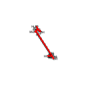 CN[C@@H](CCCCNC(=O)CCOCCOCCOCCOCCOCCOCCOCCOCCOCCOCCOCCOCCNC(=O)NCCN(C[C@H](O)[C@@H](O)[C@H](O)[C@H](O)CO)C[C@H](O)[C@@H](O)[C@H](O)[C@H](O)CO)C(=O)N[C@H](C(=O)N[C@@H](CCCNC(N)=O)C(=O)Nc1ccc(CO)cc1)C(C)C